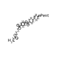 C=CC(=O)OCCCCOC(=O)c1ccc(OC(=O)C2CCC(C3CCC(CCCCC)CC3)CC2)cc1